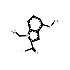 CCn1c(C(=O)O)cc2c(OC)cccc21